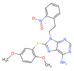 COc1ccc(OC)c(Sc2nc3c(N)ncnc3n2CCc2ccccc2[N+](=O)[O-])c1